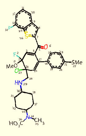 COC1(F)C=C(C(=O)c2cc3cccc(F)c3s2)C(c2ccc(SC)cc2)=CC1(Cl)CNC1CCC(N(C)C(=O)O)CC1